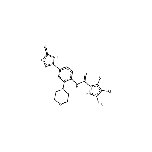 Cc1[nH]c(C(=O)Nc2ccc(-c3noc(=O)[nH]3)cc2N2CCOCC2)c(Cl)c1Cl